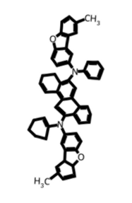 CC1=CC2c3cc(N(C4=CCCCC4)c4cc5c6c(c(N(c7ccccc7)c7ccc8oc9ccc(C)cc9c8c7)cc5c5ccccc45)CCC=C6)ccc3OC2C=C1